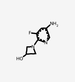 Nc1cnc(N2CC(O)C2)c(F)c1